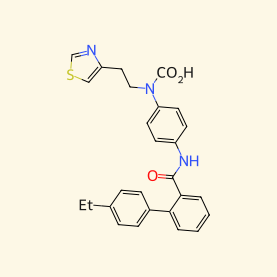 CCc1ccc(-c2ccccc2C(=O)Nc2ccc(N(CCc3cscn3)C(=O)O)cc2)cc1